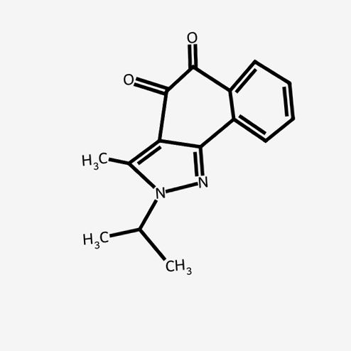 Cc1c2c(nn1C(C)C)-c1ccccc1C(=O)C2=O